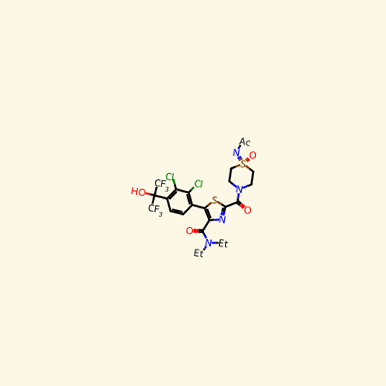 CCN(CC)C(=O)c1nc(C(=O)N2CCS(=O)(=NC(C)=O)CC2)sc1-c1ccc(C(O)(C(F)(F)F)C(F)(F)F)c(Cl)c1Cl